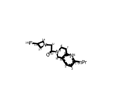 CCCc1ccc2c(n1)CCN(C(=O)CN1CC(F)C1)C2